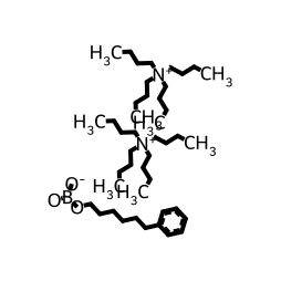 CCCC[N+](CCCC)(CCCC)CCCC.CCCC[N+](CCCC)(CCCC)CCCC.[O-]B([O-])OCCCCCCc1ccccc1